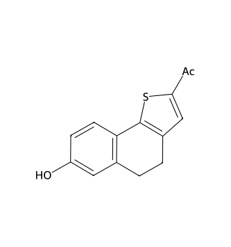 CC(=O)c1cc2c(s1)-c1ccc(O)cc1CC2